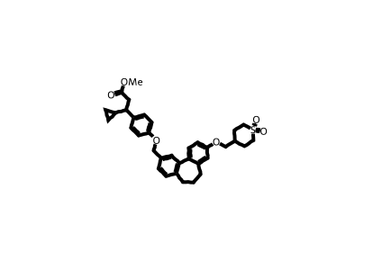 COC(=O)CC(c1ccc(OCc2ccc3c(c2)-c2ccc(OCC4CCS(=O)(=O)CC4)cc2CCC3)cc1)C1CC1